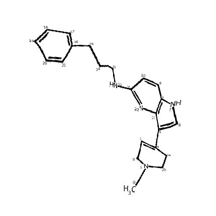 CN1CC=C(c2c[nH]c3ccc(NCCCc4ccccc4)nc23)CC1